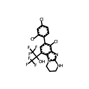 OC(c1cc(-c2ccc(Cl)cc2Cl)c(Cl)c2nc3n(c12)CCCN3)(C(F)(F)F)C(F)(F)F